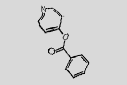 O=C(Oc1[c]cncc1)c1ccccc1